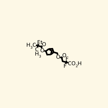 CCC(C)(C)C(=O)OC1CC2CC1CC2COC(=O)CC(F)(F)C(=O)O